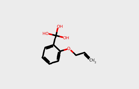 C=CCOc1ccccc1C(O)(O)O